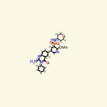 COc1ncc(-c2ccc3nc(N)n(-c4ccccc4)c(=O)c3c2)cc1S(=O)(=O)NC1CCOCC1